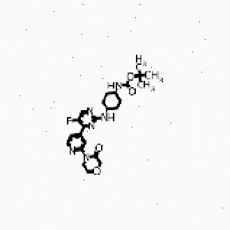 CC(C)(C)OC(=O)N[C@H]1CC[C@H](Nc2ncc(F)c(-c3ccnc(N4CCOCC4=O)c3)n2)CC1